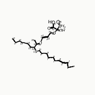 CCCCCCCCCCCSC(CCCCCC)C(C)OCCCOC(O)([PH2]=O)C(=O)O